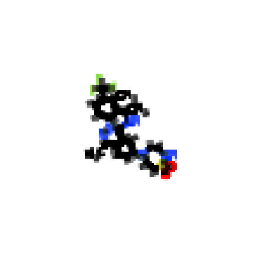 Cc1c(C(C)Nc2nnc(C)c3ccc(N4CCNS(=O)(=O)CC4)cc23)cccc1C(F)(F)F